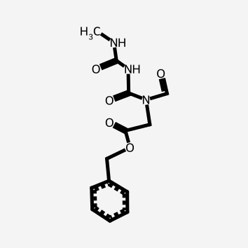 CNC(=O)NC(=O)N(C=O)CC(=O)OCc1ccccc1